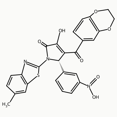 Cc1ccc2nc(N3C(=O)C(O)=C(C(=O)c4ccc5c(c4)OCCO5)[C@@H]3c3cccc([N+](=O)O)c3)sc2c1